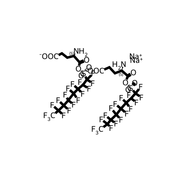 N[C@@H](CCC(=O)[O-])C(=O)OS(=O)(=O)C(F)(F)C(F)(F)C(F)(F)C(F)(F)C(F)(F)C(F)(F)C(F)(F)C(F)(F)F.N[C@@H](CCC(=O)[O-])C(=O)OS(=O)(=O)C(F)(F)C(F)(F)C(F)(F)C(F)(F)C(F)(F)C(F)(F)C(F)(F)C(F)(F)F.[Na+].[Na+]